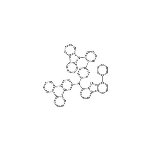 c1ccc(-c2cccc3c2oc2c(N(c4ccc(-c5ccccc5-n5c6ccccc6c6ccccc65)cc4)c4ccc5c6ccccc6c6ccccc6c5c4)cccc23)cc1